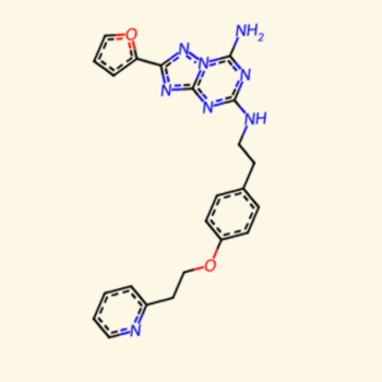 Nc1nc(NCCc2ccc(OCCc3ccccn3)cc2)nc2nc(-c3ccco3)nn12